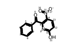 O=C(c1ccccc1)c1nc(O)ccc1[N+](=O)[O-]